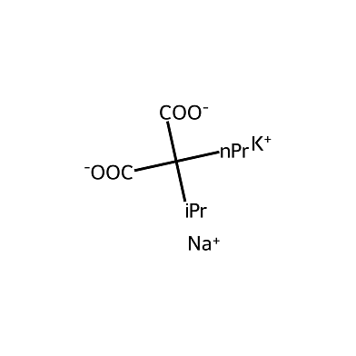 CCCC(C(=O)[O-])(C(=O)[O-])C(C)C.[K+].[Na+]